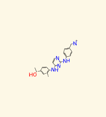 C=NCc1ccc(Nc2nccc(Nc3ccc(C(C)O)cc3C)n2)cc1